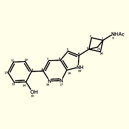 CC(=O)NC12CC(c3cc4cc(-c5ccccc5O)nnc4[nH]3)(C1)C2